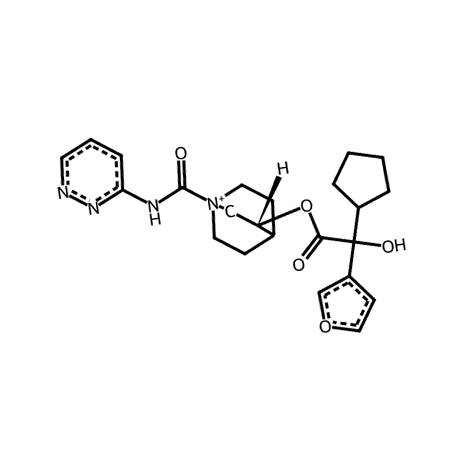 O=C(O[C@H]1C[N+]2(C(=O)Nc3cccnn3)CCC1CC2)C(O)(c1ccoc1)C1CCCC1